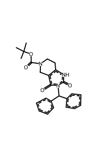 CC(C)(C)OC(=O)N1CCc2[nH]c(=O)n(C(c3ccccc3)c3ccccc3)c(=O)c2C1